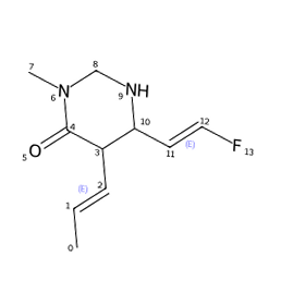 C/C=C/C1C(=O)N(C)CNC1/C=C/F